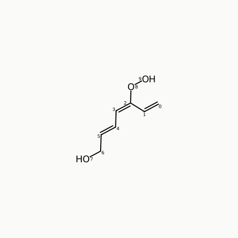 C=C/C(=C\C=C\CO)OO